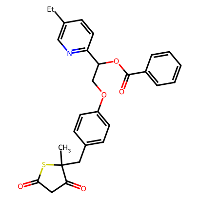 CCc1ccc(C(COc2ccc(CC3(C)SC(=O)CC3=O)cc2)OC(=O)c2ccccc2)nc1